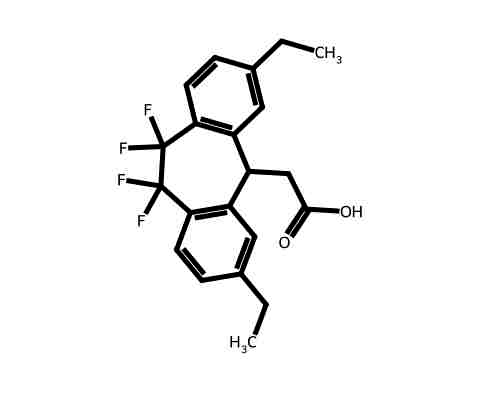 CCc1ccc2c(c1)C(CC(=O)O)c1cc(CC)ccc1C(F)(F)C2(F)F